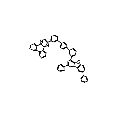 c1ccc(-c2ccc3sc4c(-c5cccc(-c6ccc(-c7cccc(-c8cnc9c%10ccccc%10c%10ccccc%10c9n8)c7)cc6)c5)cc(-c5ccccc5)cc4c3c2)cc1